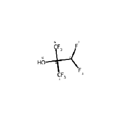 OC(C(F)F)(C(F)(F)F)C(F)(F)F